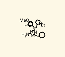 CCN1CCCC1CN(c1ccc(OC)c(F)c1)c1nc(N)nc(OC2CCCCCC2)n1